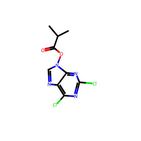 CC(C)C(=O)On1cnc2c(Cl)nc(Cl)nc21